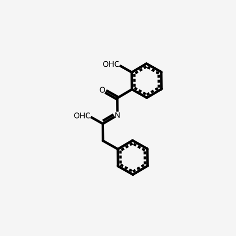 O=CC(Cc1ccccc1)=NC(=O)c1ccccc1C=O